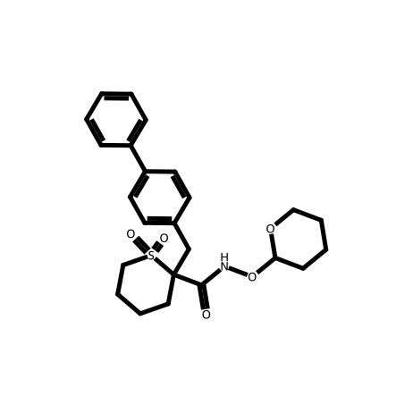 O=C(NOC1CCCCO1)C1(Cc2ccc(-c3ccccc3)cc2)CCCCS1(=O)=O